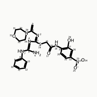 C=C(/N=C(\N=C(/N)Nc1ccccc1)SCC(=O)Nc1ccc([N+](=O)[O-])cc1O)N1CCOCC1